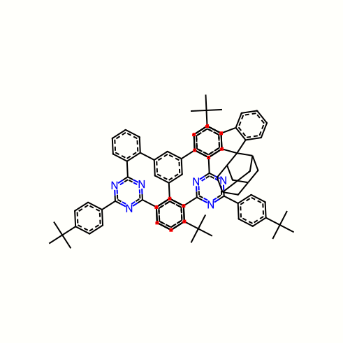 CC(C)(C)c1ccc(-c2nc(-c3ccc(C(C)(C)C)cc3)nc(-c3ccccc3-c3cc(-c4ccc5c(c4)C4(c6ccccc6-5)C5CC6CC(C5)CC4C6)cc(-c4ccccc4-c4nc(-c5ccc(C(C)(C)C)cc5)nc(-c5ccc(C(C)(C)C)cc5)n4)c3)n2)cc1